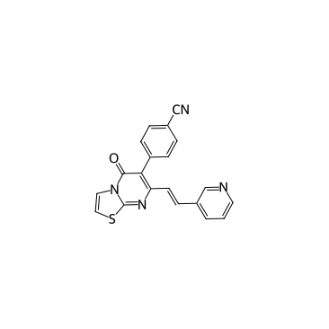 N#Cc1ccc(-c2c(C=Cc3cccnc3)nc3sccn3c2=O)cc1